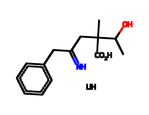 CC(O)C(C)(CC(=N)Cc1ccccc1)C(=O)O.[LiH]